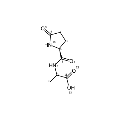 CC(NC(=O)[C@@H]1CCC(=O)N1)C(=O)O